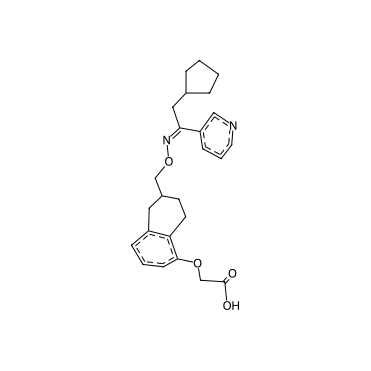 O=C(O)COc1cccc2c1CCC(CO/N=C(/CC1CCCC1)c1cccnc1)C2